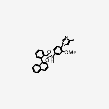 COc1cc(NS(=O)(=O)c2ccccc2-c2cccc3ccccc23)ccc1-n1cnc(C)c1